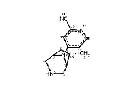 C[C@H]1CC2CNCC1N2c1ccnc(C#N)c1